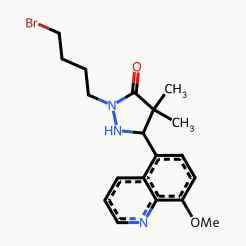 COc1ccc(C2NN(CCCCBr)C(=O)C2(C)C)c2cccnc12